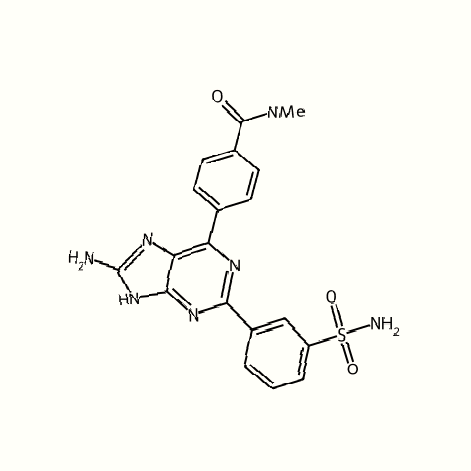 CNC(=O)c1ccc(-c2nc(-c3cccc(S(N)(=O)=O)c3)nc3[nH]c(N)nc23)cc1